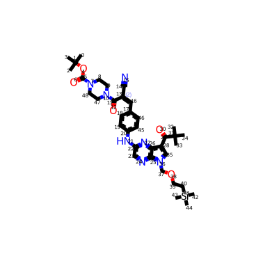 CC(C)(C)OC(=O)N1CCN(C(=O)/C(C#N)=C\c2ccc(Nc3cnc4c(n3)c(C(=O)C(C)(C)C)cn4COCC[Si](C)(C)C)cc2)CC1